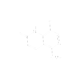 COc1ncc(Br)c2[nH]c(=O)ccc12